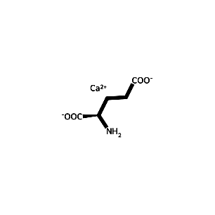 N[C@H](CCC(=O)[O-])C(=O)[O-].[Ca+2]